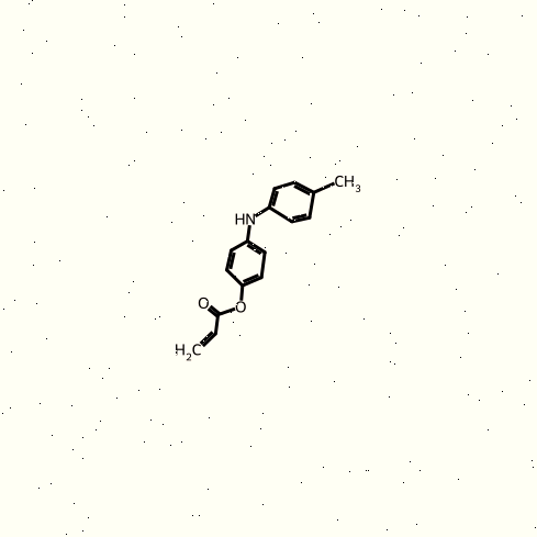 C=CC(=O)Oc1ccc(Nc2ccc(C)cc2)cc1